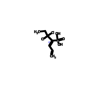 C=C/C=C(/C(Cl)(Cl)CC)P(=O)(O)O